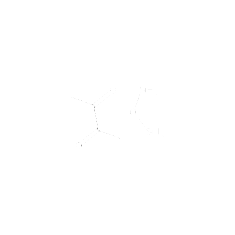 CC(=O)C(C)=O.[SiH3]O[SiH3]